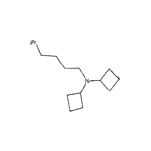 CC(C)CCCCN(C1CCC1)C1CCC1